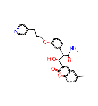 Cc1ccc2oc(=O)c(C(O)C(C(N)=O)c3cccc(OCCCc4ccncc4)c3)cc2c1